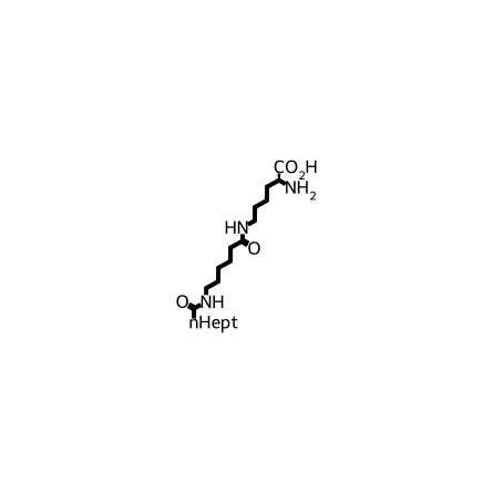 CCCCCCCC(=O)NCCCCCC(=O)NCCCC[C@H](N)C(=O)O